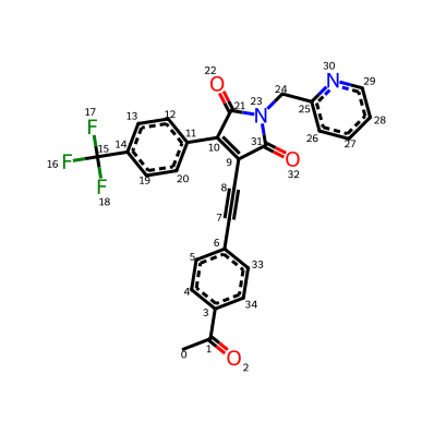 CC(=O)c1ccc(C#CC2=C(c3ccc(C(F)(F)F)cc3)C(=O)N(Cc3ccccn3)C2=O)cc1